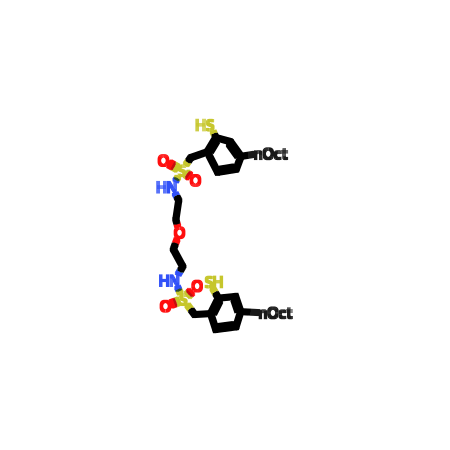 CCCCCCCCc1ccc(CS(=O)(=O)NCCOCCNS(=O)(=O)Cc2ccc(CCCCCCCC)cc2S)c(S)c1